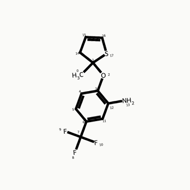 CC1(Oc2ccc(C(F)(F)F)cc2N)CC=CS1